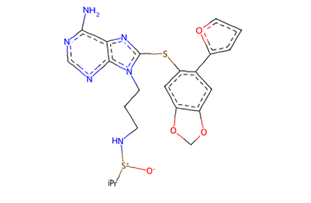 CC(C)[S+]([O-])NCCCn1c(Sc2cc3c(cc2-c2ccco2)OCO3)nc2c(N)ncnc21